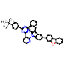 CC(C)(C)c1ccc(-c2nc(-c3ccccc3)nc(-c3cccnc3-n3c4ccccc4c4cc(-c5ccc6c(c5)oc5ccccc56)ccc43)n2)cc1